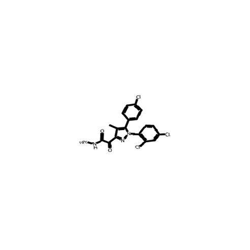 CCCNC(=O)C(=O)c1nn(-c2ccc(Cl)cc2Cl)c(-c2ccc(Cl)cc2)c1C